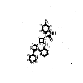 Cc1ccccc1-n1c(-c2ccncn2)nnc1[C@H]1C[C@H](n2c(=O)[nH]c3cc(F)ccc32)C1